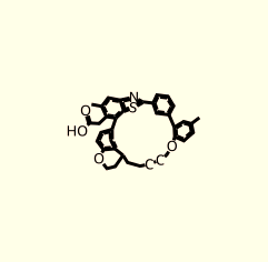 Cc1ccc2c(c1)-c1cccc(c1)-c1nc3cc(C)c(CC(=O)O)c(c3s1)-c1ccc3c(c1)C(CCCCCO2)CCO3